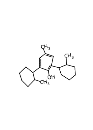 Cc1cc(C2CCCCC2C)c(O)c(C2CCCCC2C)c1